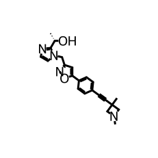 C[C@H](O)c1nccn1Cc1cc(-c2ccc(C#CC3(C)CN(C)C3)cc2)on1